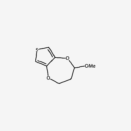 COC1CCOc2cscc2O1